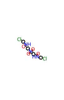 O=C(Nc1ccc(Cl)cc1)c1ccc(N2C(=O)c3ccc(C(=O)Nc4ccc(Cl)cc4)cc3C2=O)cc1